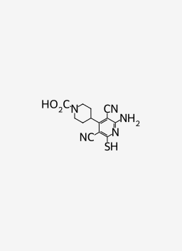 N#Cc1c(N)nc(S)c(C#N)c1C1CCN(C(=O)O)CC1